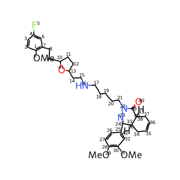 COc1ccc(F)cc1CCC1CCC(CCNCCCCCN2N=C(c3ccc(OC)c(OC)c3)[C@H]3CC=CC[C@H]3C2=O)O1